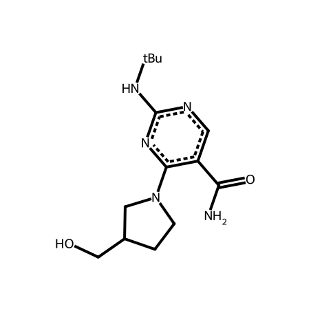 CC(C)(C)Nc1ncc(C(N)=O)c(N2CCC(CO)C2)n1